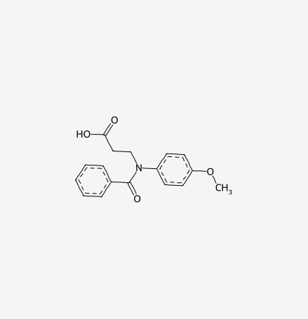 COc1ccc(N(CCC(=O)O)C(=O)c2ccccc2)cc1